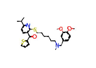 COc1ccc(CN(C)CCCCCCSc2nc(C(C)C)ccc2C(=O)c2cccs2)cc1OC